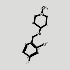 CN1CCC(NCc2ccc(F)cc2Cl)CC1